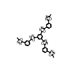 Cc1nnc(-c2cccc(-c3nnc(-c4cc(-c5nnc(-c6cccc(-c7nnc(C)o7)c6)o5)cc(-c5nnc(-c6cccc(-c7nnc(C)o7)c6)o5)c4)o3)c2)o1